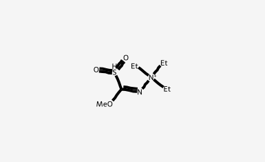 CC[N+](CC)(CC)N=C(OC)[SH](=O)=O